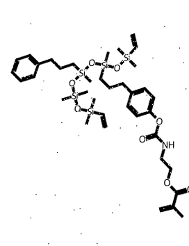 C=C[Si](C)(C)O[Si](C)(C)O[Si](C)(CCCc1ccccc1)O[Si](C)(CCCc1ccc(OC(=O)NCCOC(=O)C(=C)C)cc1)O[Si](C)(C)C=C